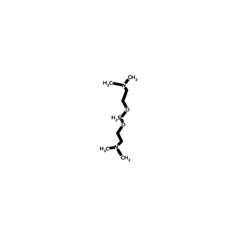 CN(C)CCO[SiH2]OCCN(C)C